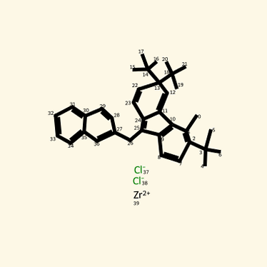 Cc1c(C(C)(C)C)ccc2c1C1=CC(C(C)(C)C)(C(C)(C)C)C=CC1=C2Cc1ccc2ccccc2c1.[Cl-].[Cl-].[Zr+2]